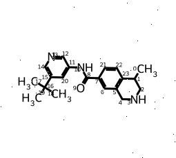 CC1CNCc2cc(C(=O)Nc3cncc(C(C)(C)C)c3)ccc21